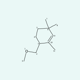 COCC1CCC(C)(C)C=C1C